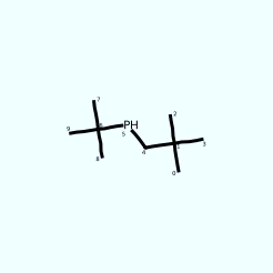 CC(C)(C)CPC(C)(C)C